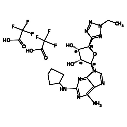 CCn1nnc([C@H]2O[C@@H](n3cnc4c(N)nc(NC5CCCC5)nc43)[C@H](O)[C@@H]2O)n1.O=C(O)C(F)(F)F.O=C(O)C(F)(F)F